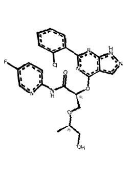 C[C@H](CO)OC[C@H](Oc1nc(-c2ccccc2Cl)nc2[nH]ncc12)C(=O)Nc1ccc(F)cn1